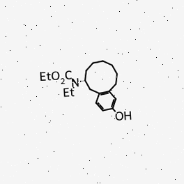 CCOC(=O)N(CC)[C@@H]1CCCCCCc2cc(O)ccc2C1